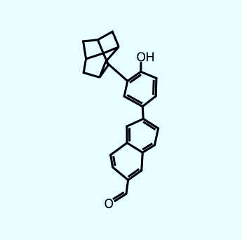 O=Cc1ccc2cc(-c3ccc(O)c(C4C5CC6CC7CC4C67C5)c3)ccc2c1